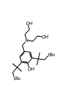 CC(C)(C)CC(C)(C)c1cc(CN(CCO)CCO)cc(C(C)(C)CC(C)(C)C)c1O